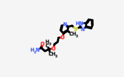 Cc1c(OCCCOC(C)(C)CC(N)=O)ccnc1CSc1nc2ccccc2[nH]1